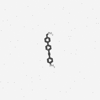 PCc1ccc(-c2ccc(C#Cc3ccc(P)cc3)cc2)cc1